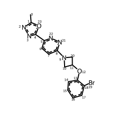 Cc1nnc(-c2ccc(N3CC(Oc4ccccc4Br)C3)nn2)o1